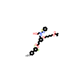 C=C(C)C(=O)OCCCCCCOc1ccc(/C=C/C(=O)Oc2c(F)cc(C3CCC(CCC)CC3)cc2F)cc1/C=N/N(CCO)c1nc2ccccc2s1